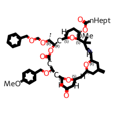 C=C1C[C@H]2C[C@H]3CC(=O)C[C@@H](C[C@@H](OCc4ccc(OC)cc4)CC(=O)O[C@@H]([C@@H](C)OCOCc4ccccc4)C[C@@H]4CC[C@H](OC(=O)CCCCCCC)[C@@](OC)(O4)C(C)(C)/C=C/[C@@H](C1)O2)O3